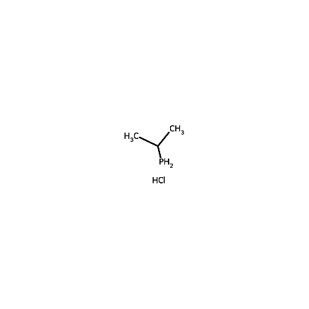 CC(C)P.Cl